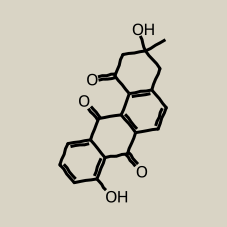 CC1(O)CC(=O)c2c(ccc3c2C(=O)c2cccc(O)c2C3=O)C1